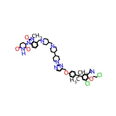 Cn1c(=O)n(C2CCC(=O)NC2=O)c2cccc(CN3CCC(CN4CCC(C5CCN(c6nccc(COc7ccc(C(C)(C)c8cc(Cl)c(OCCCl)c(C9C=N9)c8)cc7)n6)CC5)CC4)CC3)c21